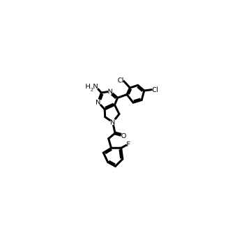 Nc1nc2c(c(-c3ccc(Cl)cc3Cl)n1)CN(C(=O)Cc1ccccc1F)C2